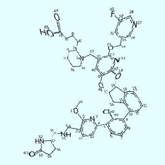 COc1nc(-c2cccc(-c3cccc4c3CC[C@@H]4Oc3nc(OCc4cncc(F)c4)c(CN4CCCCC4CCCC(=O)O)cc3Cl)c2Cl)ccc1CNC[C@@H]1CCC(=O)N1